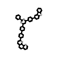 c1ccc(-c2nc(-c3ccc(-c4ccc(-c5ccc6ccc7cccnc7c6n5)cc4)cc3)cc(-c3ccc(-c4ccc5oc6ccccc6c5c4)cc3)n2)cc1